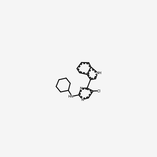 Clc1cnc(NC2CCCCC2)nc1-c1c[nH]c2ccccc12